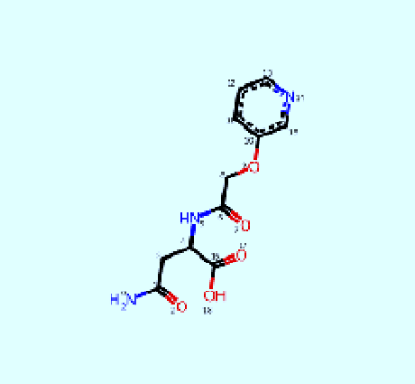 NC(=O)CC(NC(=O)COc1cccnc1)C(=O)O